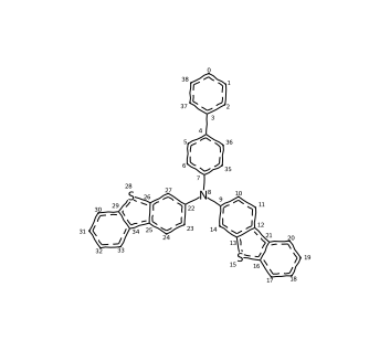 c1ccc(-c2ccc(N(c3ccc4c(c3)sc3ccccc34)c3ccc4c(c3)sc3ccccc34)cc2)cc1